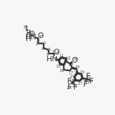 O=C(CCCCCC(=O)Nc1ccc2c(c1)CC/C(=C\c1cc(C(F)(F)F)cc(C(F)(F)F)c1)C2=O)NOPI